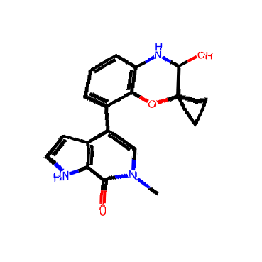 Cn1cc(-c2cccc3c2OC2(CC2)C(O)N3)c2cc[nH]c2c1=O